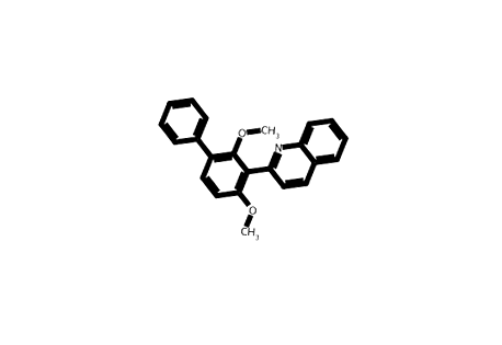 COc1ccc(-c2ccccc2)c(OC)c1-c1ccc2ccccc2n1